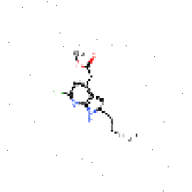 CCOC(=O)C=Cc1cc2c(CC(=O)OC(C)(C)C)cc(Cl)nc2[nH]1